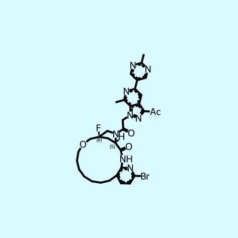 CC(=O)c1nn(CC(=O)N2C[C@@]3(F)COCCCCCCCc4ccc(Br)nc4NC(=O)[C@@H]2C3)c2c(C)nc(-c3cnc(C)nc3)cc12